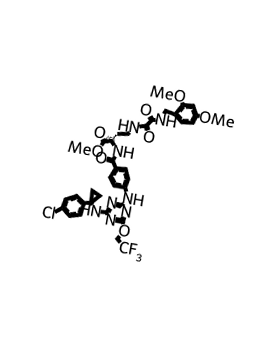 COC(=O)[C@H](CCNC(=O)C(=O)NCc1ccc(OC)cc1OC)NC(=O)c1ccc(Nc2nc(NC3(c4ccc(Cl)cc4)CC3)nc(OCC(F)(F)F)n2)cc1